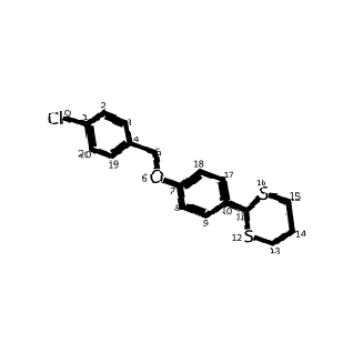 Clc1ccc(COc2ccc(C3SCCCS3)cc2)cc1